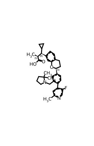 Cc1cc(-c2ccc([C@@H]3CCc4ccc([C@H](C5CC5)[C@H](C)C(=O)O)cc4O3)cc2CN2CCCC2(C)C)c(F)cn1